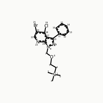 C[Si](C)(C)CCOCn1nc(-c2ccccc2)c2c(Cl)c(Br)cnc21